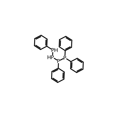 c1ccc(PPP(c2ccccc2)P(c2ccccc2)c2ccccc2)cc1